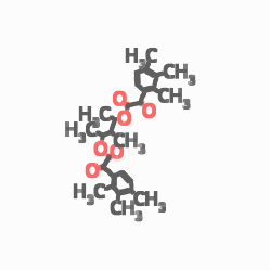 Cc1ccc(C(=O)C(=O)OC(C)C(C)C(C)OC(=O)C(=O)c2ccc(C)c(C)c2C)c(C)c1C